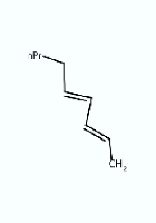 [CH2]C=CC=CCCC[CH2]